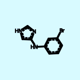 Brc1cccc(Nc2c[nH]cn2)c1